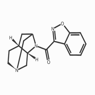 O=C(c1noc2ccccc12)N1C2C[C@H]3CC[N@@](C2)C[C@H]31